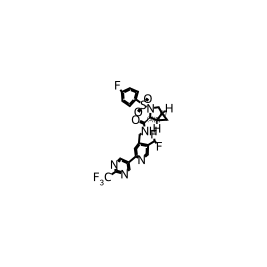 O=C(NCc1cc(-c2cnc(C(F)(F)F)nc2)ncc1C(F)F)[C@@H]1[C@H]2C[C@H]2CN1S(=O)(=O)c1ccc(F)cc1